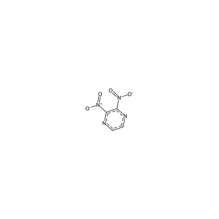 O=[N+]([O-])c1nccnc1[N+](=O)[O-]